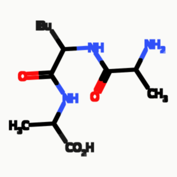 CCC(C)C(NC(=O)C(C)N)C(=O)NC(C)C(=O)O